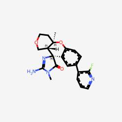 CN1C(=O)[C@]2(N=C1N)c1cc(-c3cccnc3F)ccc1O[C@]1(C)CCOC[C@H]12